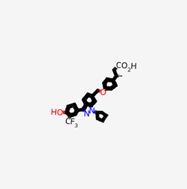 C[C@@H](CC(=O)O)c1ccc(OCc2ccc3c(-c4ccc(O)c(C(F)(F)F)c4)nn(C4CCCC4)c3c2)cc1